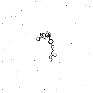 CCOC(=O)CCCOc1ccc(-n2nnc3cnc(Cl)nc32)cc1